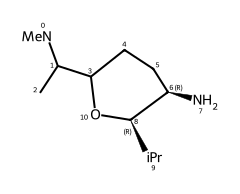 CNC(C)C1CC[C@@H](N)[C@@H](C(C)C)O1